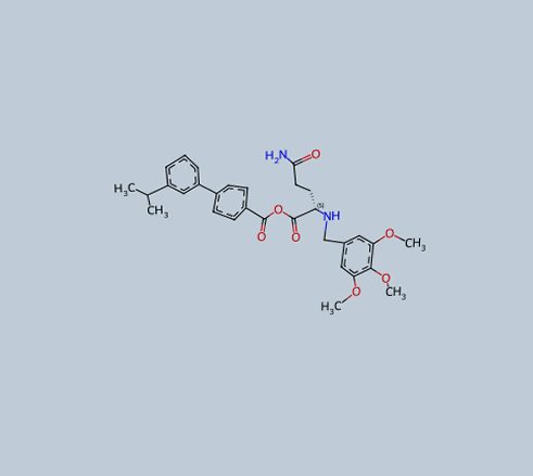 COc1cc(CN[C@@H](CCC(N)=O)C(=O)OC(=O)c2ccc(-c3cccc(C(C)C)c3)cc2)cc(OC)c1OC